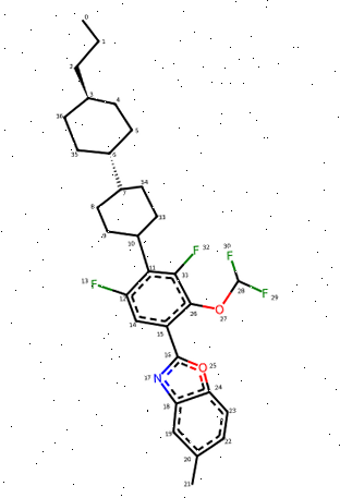 CCC[C@H]1CC[C@H](C2CCC(c3c(F)cc(-c4nc5cc(C)ccc5o4)c(OC(F)F)c3F)CC2)CC1